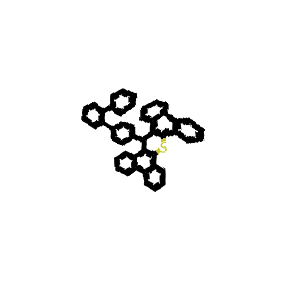 c1ccc(-c2ccccc2-c2ccc(C3c4c(c5ccccc5c5ccccc45)Sc4c3c3ccccc3c3ccccc43)cc2)cc1